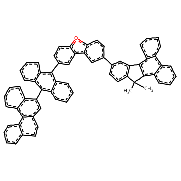 CC1(C)c2ccc(-c3ccc4oc5ccc(-c6c7ccccc7c(-c7cc8ccc9ccccc9c8c8ccccc78)c7ccccc67)cc5c4c3)cc2-c2c1c1ccccc1c1ccccc21